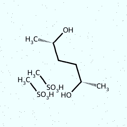 CS(=O)(=O)O.CS(=O)(=O)O.C[C@H](O)CC[C@H](C)O